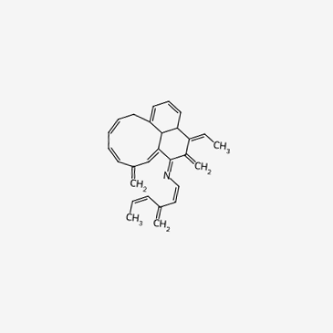 C=C(/C=C\C)\C=C/N=C1C(=C)/C(=C\C)C2C=CC=C3C/C=C\C=C/C(=C)\C=C\1C32